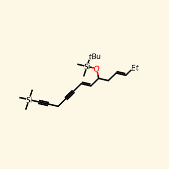 CCC=CCC(C=CC#CCC#C[Si](C)(C)C)O[Si](C)(C)C(C)(C)C